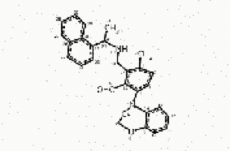 Cc1ccc(N2CCOc3ccccc32)c(C=O)c1CN[C@H](C)c1cccc2ccccc12